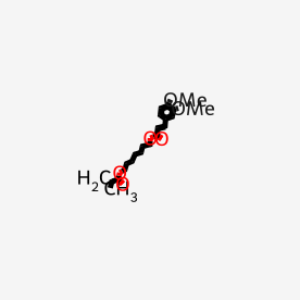 C=C(C)C(=O)OCCCCCCCOC(=O)/C=C/c1ccc(OC)c(OC)c1